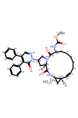 CC(C)(C)OC(=O)N[C@H]1CCCCC/C=C\[C@@H]2C[C@@]2(C(=O)O)NC(=O)[C@@H]2C[C@@H](n3ncc(-c4ccccc4)c(-c4ccccc4)c3=O)CN2C1=O